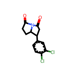 O=C1CCC2C(c3ccc(Cl)c(Cl)c3)CC(=O)N12